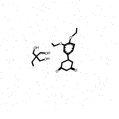 CCC(CO)(CO)CO.CCOc1ccc(C2CC(=O)CC(=O)C2)cc1OCC